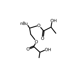 CCCCC(COC(=O)C(C)O)OC(=O)C(C)O